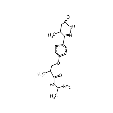 CC(N)NC(=O)C(C)COc1ccc(C2=NNC(=O)CC2C)cc1